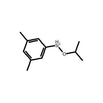 Cc1cc(C)cc([SiH2]OC(C)C)c1